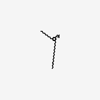 CCC/C=C/CCCCCCCCCCCCCc1cc(CCCCCCCCC)cc(CN(C)C)c1